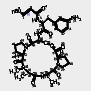 CCCC/C=C/C(=O)N[C@@H](Cc1cccc(N)c1)C(=O)N[C@H]1COC(=O)[C@@H]2CCCN2C(=O)[C@H](C)NC(=O)[C@H](C)N(C)C(=O)[C@@H]2CCCN2C1=O